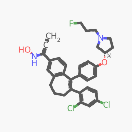 C=C=C(NO)c1ccc2c(c1)CCCC(c1ccc(Cl)cc1Cl)=C2c1ccc(O[C@H]2CCN(CCCF)C2)cc1